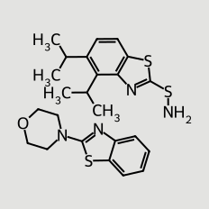 CC(C)c1ccc2sc(SN)nc2c1C(C)C.c1ccc2sc(N3CCOCC3)nc2c1